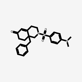 CN(C)c1ccc(S(=O)(=O)N2CCC3=CC(=O)CCC3(Cc3ccccc3)C2)cc1